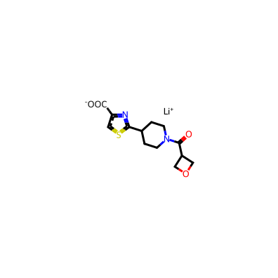 O=C([O-])c1csc(C2CCN(C(=O)C3COC3)CC2)n1.[Li+]